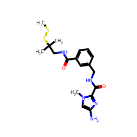 CSSC(C)(C)CNC(=O)c1cccc(CNC(=O)c2nc(N)cn2C)c1